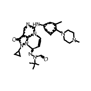 C/C=C\C(=N/N(C=O)C(C)(C)C)n1c2nc(Nc3ccc(N4CCN(C)CC4)c(C)c3)ncc2c(=O)n1C1CC1